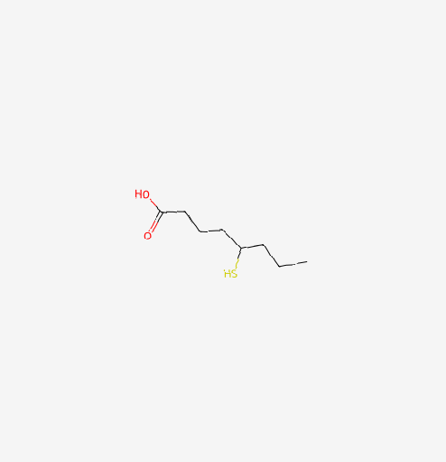 CCCC(S)CCCC(=O)O